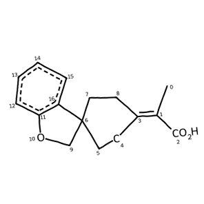 CC(C(=O)O)=C1CCC2(CC1)COc1ccccc12